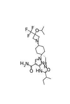 CCC(C)C(=O)Nc1nn([C@]2(CC#N)CC[C@H](N3CC(OC(C)C)(C(F)(F)F)C3)CC2)cc1C(N)=O